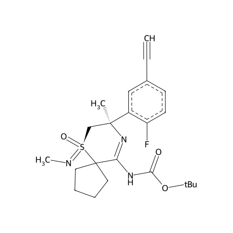 C#Cc1ccc(F)c([C@]2(C)C[S@](=O)(=NC)C3(CCCC3)C(NC(=O)OC(C)(C)C)=N2)c1